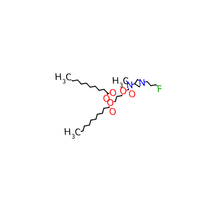 CCCCCCCCCC(=O)OCC(COC(=O)N(C)C1CN(CCCF)C1)OC(=O)CCCCCCCCC